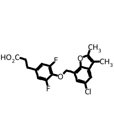 Cc1oc2c(COc3c(F)cc(CCC(=O)O)cc3F)cc(Cl)cc2c1C